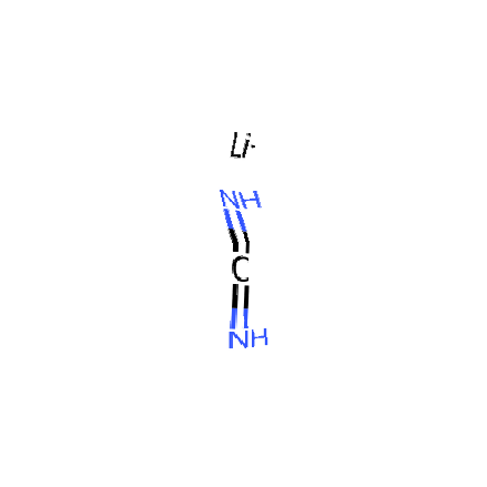 N=C=N.[Li]